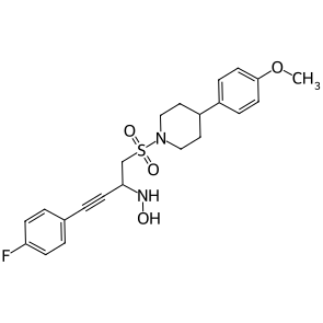 COc1ccc(C2CCN(S(=O)(=O)CC(C#Cc3ccc(F)cc3)NO)CC2)cc1